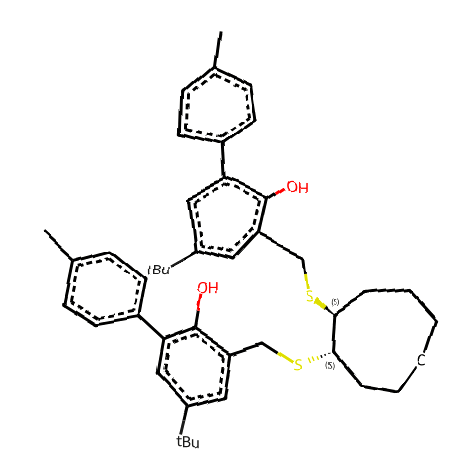 Cc1ccc(-c2cc(C(C)(C)C)cc(CS[C@H]3CCCCCC[C@@H]3SCc3cc(C(C)(C)C)cc(-c4ccc(C)cc4)c3O)c2O)cc1